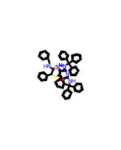 O=C(NCc1ccccc1)C(Sc1cc(NC(c2ccccc2)(c2ccccc2)c2ccccc2)nc2c1nnn2C(c1ccccc1)(c1ccccc1)c1ccccc1)c1ccccc1